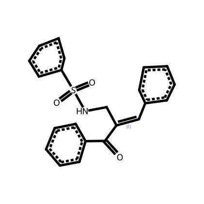 O=C(/C(=C/c1ccccc1)CNS(=O)(=O)c1ccccc1)c1ccccc1